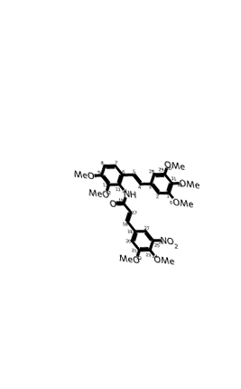 COc1cc(C=Cc2ccc(OC)c(OC)c2NC(=O)/C=C/c2cc(OC)c(OC)c([N+](=O)[O-])c2)cc(OC)c1OC